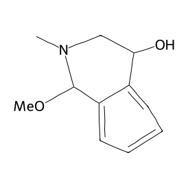 COC1c2ccccc2C(O)CN1C